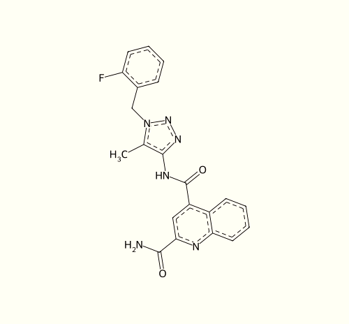 Cc1c(NC(=O)c2cc(C(N)=O)nc3ccccc23)nnn1Cc1ccccc1F